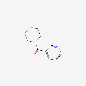 Cl.O=C(c1cccnc1)N1CCNCC1